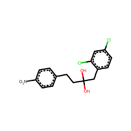 O=[N+]([O-])c1ccc(CCC(O)(O)Cc2ccc(Cl)cc2Cl)cc1